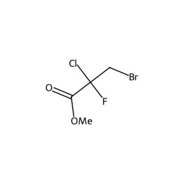 COC(=O)C(F)(Cl)CBr